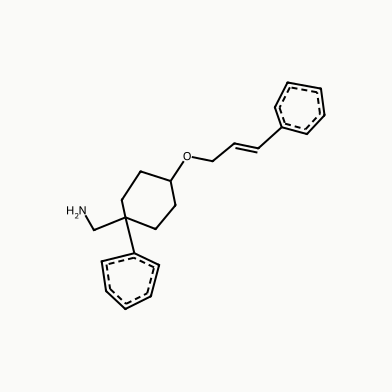 NCC1(c2ccccc2)CCC(OCC=Cc2ccccc2)CC1